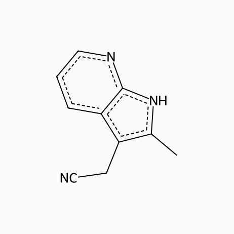 Cc1[nH]c2ncccc2c1CC#N